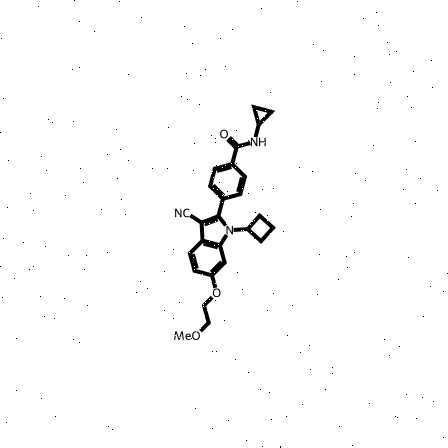 COCCOc1ccc2c(C#N)c(-c3ccc(C(=O)NC4CC4)cc3)n(C3CCC3)c2c1